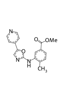 COC(=O)c1ccc(C)c(Nc2ncc(-c3ccncc3)o2)c1